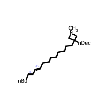 CCCC/C=C/C=C/CCCCCCCCC1(CCCCCCCCCC)CN(C)C1